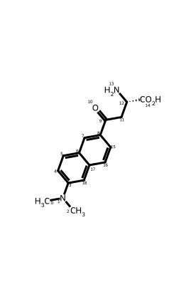 CN(C)c1ccc2cc(C(=O)C[C@H](N)C(=O)O)ccc2c1